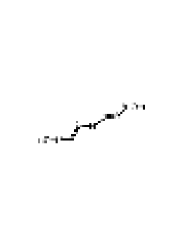 CCCCCCCCC=C[N]C=CCCCCCCCC